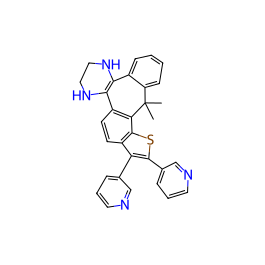 CC1(C)c2ccccc2C2=C(NCCN2)c2ccc3c(-c4cccnc4)c(-c4cccnc4)sc3c21